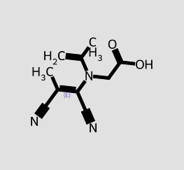 C=C(C)N(CC(=O)O)/C(C#N)=C(\C)C#N